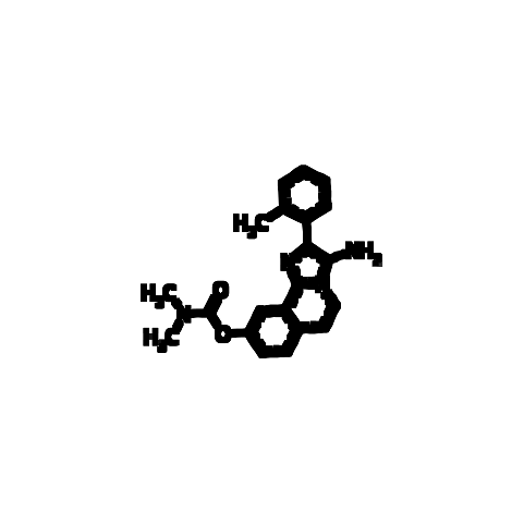 Cc1ccccc1-c1nc2c3cc(OC(=O)N(C)C)ccc3ccn2c1N